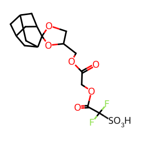 O=C(COC(=O)C(F)(F)S(=O)(=O)O)OCC1COC2(O1)C1CC3CC(C1)CC2C3